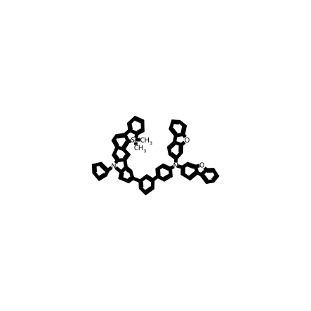 C[Si]1(C)c2ccccc2-c2ccc3cc4c(cc3c21)c1cc(-c2cccc(-c3ccc(N(c5ccc6c(c5)oc5ccccc56)c5ccc6c(c5)oc5ccccc56)cc3)c2)ccc1n4-c1ccccc1